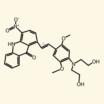 COc1cc(N(CCO)CCO)c(OC)cc1/C=C/c1ccc([N+](=O)[O-])c2[nH]c3ccccc3c(=O)c12